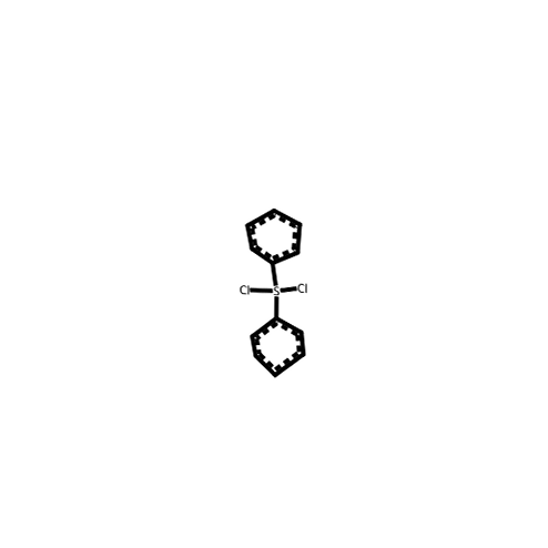 ClS(Cl)(c1ccccc1)c1ccccc1